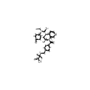 CCN(C(=O)[C@H]1C[C@H](C)N(C(=O)c2ccc(CCC(C)(C)C(=O)O)cc2)c2cnccc21)c1ccc(Cl)cc1